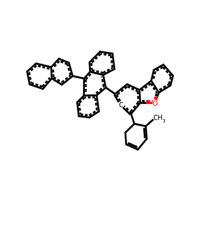 CC1=CC=CCC1c1cc(-c2c3ccccc3c(-c3ccc4ccccc4c3)c3ccccc23)cc2c1oc1ccccc12